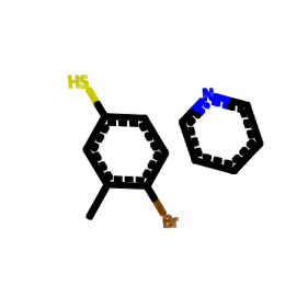 Cc1cc(S)ccc1Br.c1ccncc1